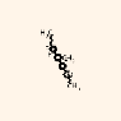 CCCCCc1ccc(C2=CC=C(c3ccc(C4CCC(CCC)OC4)cc3F)C(C)C2)c(F)c1F